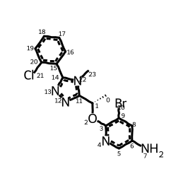 C[C@H](Oc1ncc(N)cc1Br)c1nnc(-c2ccccc2Cl)n1C